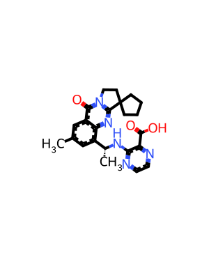 Cc1cc([C@@H](C)Nc2nccnc2C(=O)O)c2nc3n(c(=O)c2c1)CCC31CCCC1